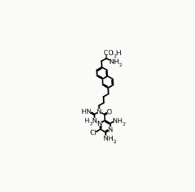 N=C(N)N(CCCCc1ccc2cc(C[C@H](N)C(=O)O)ccc2c1)C(=O)c1nc(Cl)c(N)nc1N